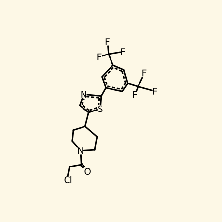 O=C(CCl)N1CCC(c2cnc(-c3cc(C(F)(F)F)cc(C(F)(F)F)c3)s2)CC1